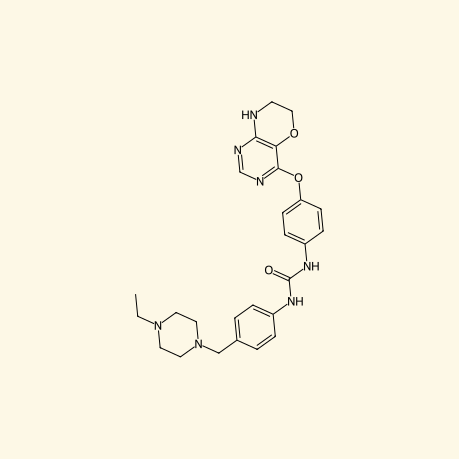 CCN1CCN(Cc2ccc(NC(=O)Nc3ccc(Oc4ncnc5c4OCCN5)cc3)cc2)CC1